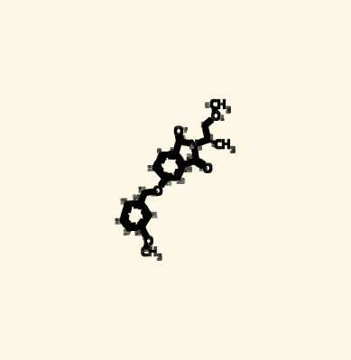 COC[C@H](C)N1C(=O)c2ccc(OCc3cccc(OC)c3)cc2C1=O